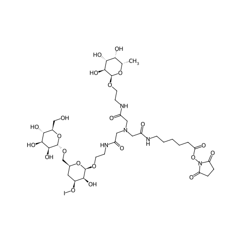 C[C@@H]1O[C@@H](OCCNC(=O)CN(CC(=O)NCCCCCC(=O)ON2C(=O)CCC2=O)CC(=O)NCCO[C@@H]2O[C@H](CO[C@H]3O[C@H](CO)[C@@H](O)[C@H](O)[C@@H]3O)C[C@H](OI)[C@@H]2O)[C@@H](O)[C@H](O)[C@@H]1O